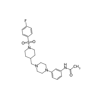 CC(=O)Nc1cccc(N2CCN(CC3CCN(S(=O)(=O)c4ccc(F)cc4)CC3)CC2)c1